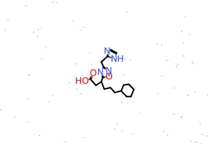 O=C(O)CC(CCCC1CCCCC1)c1nc(Cc2ncc[nH]2)no1